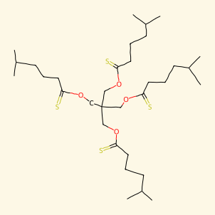 CC(C)CCCC(=S)OCC(COC(=S)CCCC(C)C)(COC(=S)CCCC(C)C)COC(=S)CCCC(C)C